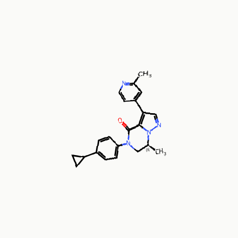 Cc1cc(-c2cnn3c2C(=O)N(c2ccc(C4CC4)cc2)C[C@@H]3C)ccn1